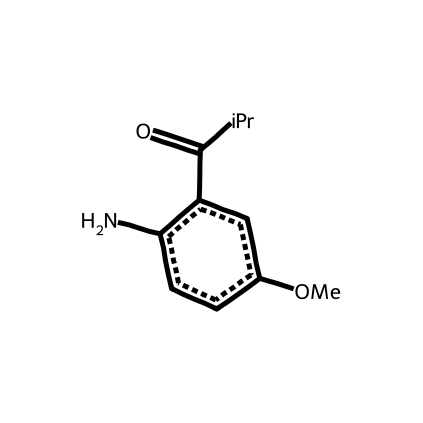 COc1ccc(N)c(C(=O)C(C)C)c1